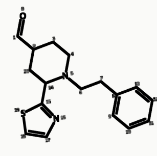 O=CC1CCN(CCc2ccccc2)C(c2nccs2)C1